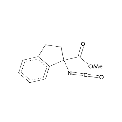 COC(=O)C1(N=C=O)CCc2ccccc21